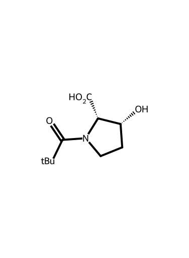 CC(C)(C)C(=O)N1CC[C@@H](O)[C@H]1C(=O)O